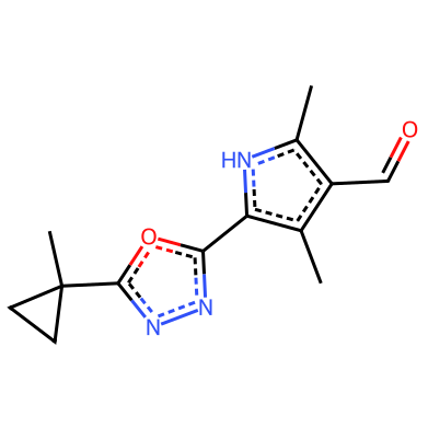 Cc1[nH]c(-c2nnc(C3(C)CC3)o2)c(C)c1C=O